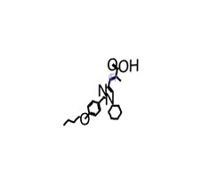 CCCCOc1ccc(-c2nc(/C=C(\C)C(=O)O)cn2C2CCCCC2)cc1